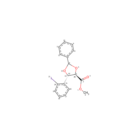 COC(=O)[C@@H]1OC(c2ccccc2)O[C@H]1c1ccccc1I